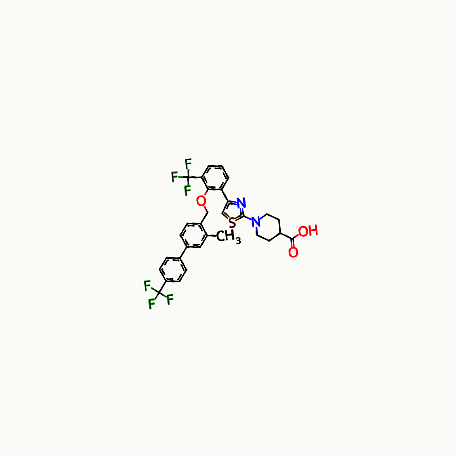 Cc1cc(-c2ccc(C(F)(F)F)cc2)ccc1COc1c(-c2csc(N3CCC(C(=O)O)CC3)n2)cccc1C(F)(F)F